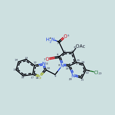 CC(=O)Oc1c(C(N)=O)c(=O)n(Cc2nc3ccccc3s2)c2ncc(Cl)cc12